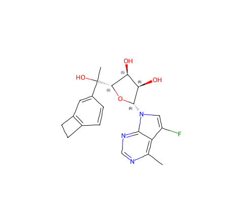 Cc1ncnc2c1c(F)cn2[C@@H]1O[C@H](C(C)(O)c2ccc3c(c2)CC3)[C@@H](O)[C@H]1O